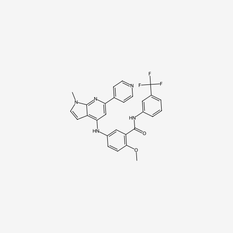 COc1ccc(Nc2cc(-c3ccncc3)nc3c2ccn3C)cc1C(=O)Nc1cccc(C(F)(F)F)c1